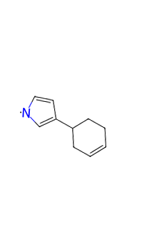 C1=CCC(C2=C[N]C=C2)CC1